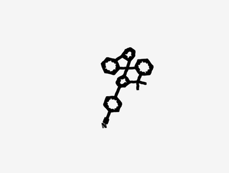 CC1(C)c2ccccc2C2(c3ccccc3-c3ccccc32)c2ccc(-c3ccc(C#N)cc3)cc21